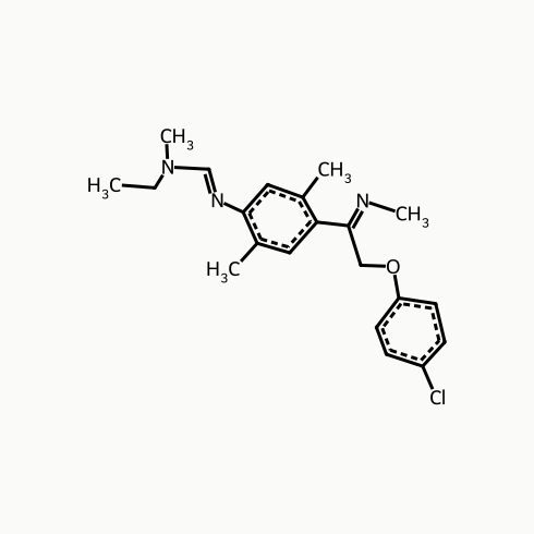 CCN(C)C=Nc1cc(C)c(C(COc2ccc(Cl)cc2)=NC)cc1C